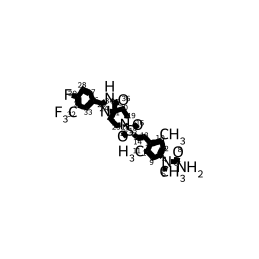 Cc1cc(N(C)C(N)=O)cc(C)c1C=CS(=O)(=O)N1CCC2(CC1)N=C(c1ccc(F)c(C(F)(F)F)c1)NC2=O